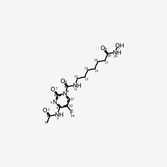 CC(=O)Nc1nc(=O)n(C(=O)NCCCCCCC(=O)NO)cc1F